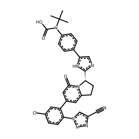 CC(C)(C)N(C(=O)O)c1ccc(-c2cnc([C@@H]3CCc4cc(-c5cc(Cl)ccc5-n5cc(C#N)nn5)cc(=O)n43)[nH]2)cc1